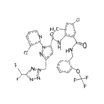 Cc1cc(Cl)cc(C(=O)NCc2ccccc2OC(F)(F)F)c1NC(=O)c1cc(Cn2nnc(C(F)F)n2)nn1-c1ncccc1Cl